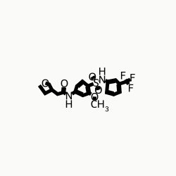 COc1cc(NC(=O)CC2CCOC2)ccc1S(=O)(=O)Nc1cccc(C(F)(F)F)c1